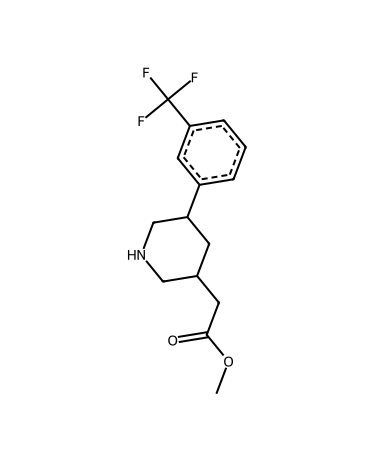 COC(=O)CC1CNCC(c2cccc(C(F)(F)F)c2)C1